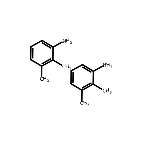 Cc1cccc(N)c1C.Cc1cccc(N)c1C